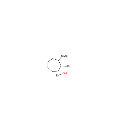 CCO.CNC1CCCCCC1C(C)C